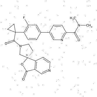 CN(C)C(=O)c1ccc(-c2ccc(C3(C(=O)N4CC[C@@]5(C4)OC(=O)c4cnccc45)CC3)c(F)c2)cn1